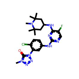 CN1C(C)(C)CC(Nc2nc(Nc3ccc(Cl)c(-n4nnn(C)c4=O)c3)ncc2F)CC1(C)C